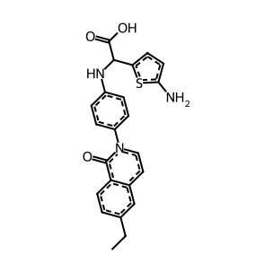 CCc1ccc2c(=O)n(-c3ccc(NC(C(=O)O)c4ccc(N)s4)cc3)ccc2c1